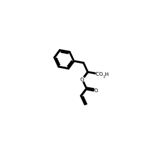 C=CC(=O)OC(Cc1ccccc1)C(=O)O